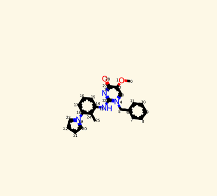 COc1cn(Cc2ccccc2)c(Nc2cccc(-n3cccc3)c2C)nc1=O